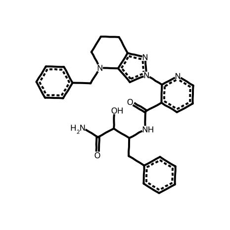 NC(=O)C(O)C(Cc1ccccc1)NC(=O)c1cccnc1-n1cc2c(n1)CCCN2Cc1ccccc1